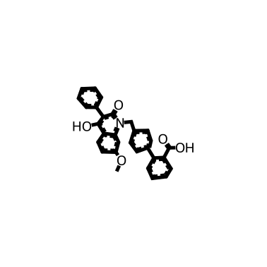 COc1ccc2c(O)c(-c3ccccc3)c(=O)n(Cc3ccc(-c4ccccc4C(=O)O)cc3)c2c1